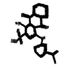 CC(C)c1cccc(Nc2cc(S(=O)(=O)O)c(N)c3c2C(=O)c2ccccc2C3=O)c1